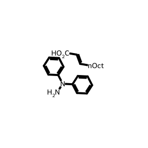 CCCCCCCCC=CC(=O)O.NN(c1ccccc1)c1ccccc1